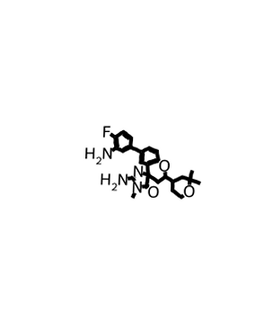 CN1C(=O)C2(CC(C3CCOC(C)(C)C3)Oc3ccc(-c4ccc(F)c(N)c4)cc32)N=C1N